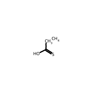 C.CC(O)=S